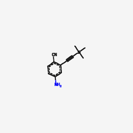 C[Si](C)(C)C#Cc1cc(N)ccc1C#N